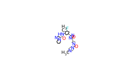 Cc1c(F)cc(-c2noc(C3CN(C(=O)N4CCN(C)CC4)C3)n2)cc1NC(=O)c1cnc2ccccn12